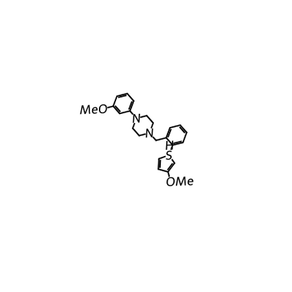 COC1=C[SH](c2ccccc2CN2CCN(c3cccc(OC)c3)CC2)C=C1